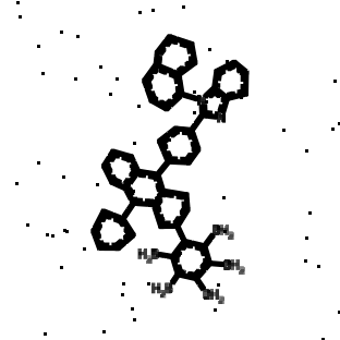 Bc1c(B)c(B)c(-c2ccc3c(-c4ccc(-c5nc6ccccc6n5-c5cccc6ccccc56)cc4)c4ccccc4c(-c4ccccc4)c3c2)c(B)c1B